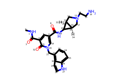 CNC(=O)c1cc(C(=O)NC2[C@H]3CN(CCN)C[C@@H]23)cn(Cc2cccc3[nH]ccc23)c1=O